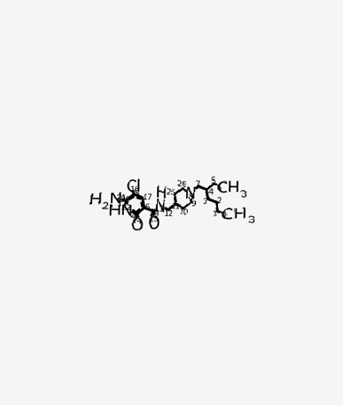 CCCCC(CC)CN1CCC(CNC(=O)c2cc(Cl)c(N)[nH]c2=O)CC1